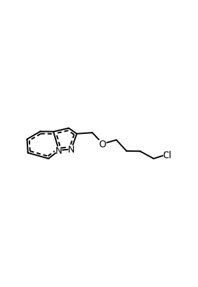 ClCCCCOCc1cc2ccccn2n1